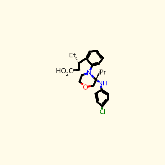 CC[C@@H](CC(=O)O)c1ccccc1N1CCOC[C@]1(Nc1ccc(Cl)cc1)C(C)C